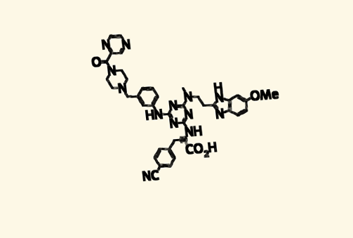 COc1ccc2nc(CCN(C)c3nc(Nc4cccc(CN5CCN(C(=O)c6cnccn6)CC5)c4)nc(N[C@@H](Cc4ccc(C#N)cc4)C(=O)O)n3)[nH]c2c1